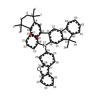 CC1(C)CCC(C)(C)c2cc(-c3cc4c(cc3N(c3ccccc3)c3ccc5c(c3)oc3ccccc35)C(C)(C)c3ccccc3-4)ccc21